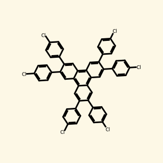 Clc1ccc(-c2cc3c4cc(-c5ccc(Cl)cc5)c(-c5ccc(Cl)cc5)cc4c4cc(-c5ccc(Cl)cc5)c(-c5ccc(Cl)cc5)cc4c3cc2-c2ccc(Cl)cc2)cc1